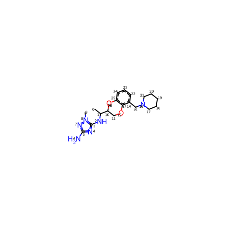 CC(Nc1nc(N)nn1C)C1COc2c(CN3CCCCC3)cccc2O1